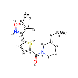 CNCC1CCCN(C(=O)c2ccc(-c3noc(C(F)(F)F)c3C)s2)C1